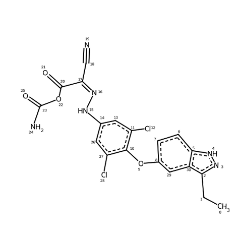 CCc1n[nH]c2ccc(Oc3c(Cl)cc(NN=C(C#N)C(=O)OC(N)=O)cc3Cl)cc12